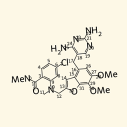 CNC(=O)c1ccc(Cl)cc1N(C)Cc1cc2c(Cc3cnc(N)nc3N)cc(OC)c(OC)c2o1